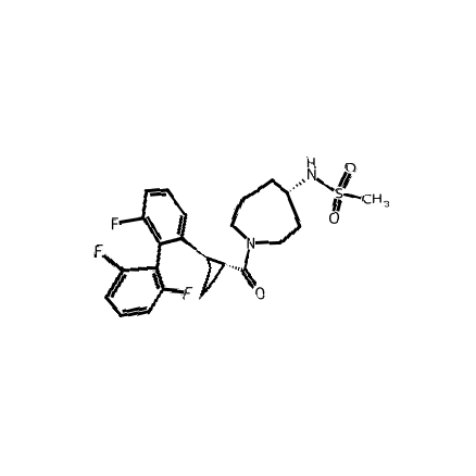 CS(=O)(=O)N[C@H]1CCCN(C(=O)[C@@H]2C[C@H]2c2cccc(F)c2-c2c(F)cccc2F)CC1